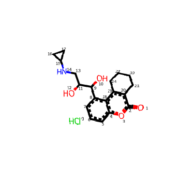 Cl.O=c1oc2cccc(C(O)C(O)CNC3CC3)c2c2c1CCCC2